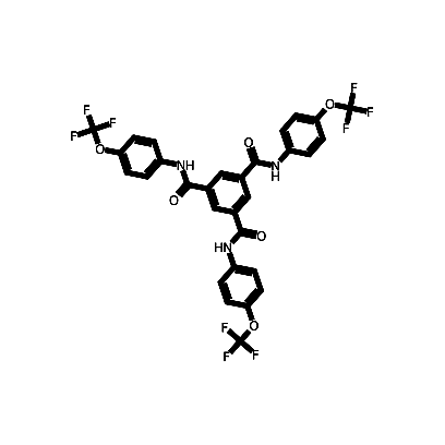 O=C(Nc1ccc(OC(F)(F)F)cc1)c1cc(C(=O)Nc2ccc(OC(F)(F)F)cc2)cc(C(=O)Nc2ccc(OC(F)(F)F)cc2)c1